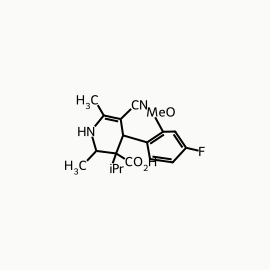 COc1cc(F)ccc1C1C(C#N)=C(C)NC(C)C1(C(=O)O)C(C)C